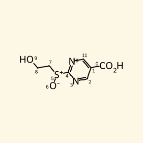 O=C(O)c1cnc([S+]([O-])CCO)nc1